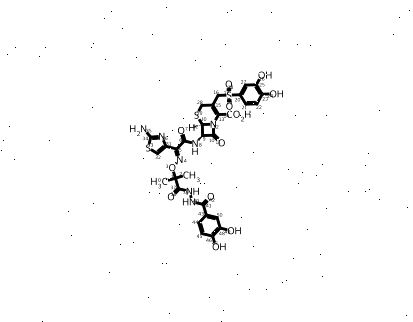 CC(C)(ON=C(C(=O)N[C@@H]1C(=O)N2C(C(=O)O)=C(CS(=O)(=O)c3ccc(O)c(O)c3)CS[C@H]12)c1csc(N)n1)C(=O)NNC(=O)c1ccc(O)c(O)c1